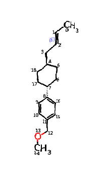 C/C=C/C[C@H]1CC[C@H](c2ccc(COC)cc2)CC1